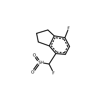 O=[SH](=O)C(F)c1ccc(F)c2c1CCC2